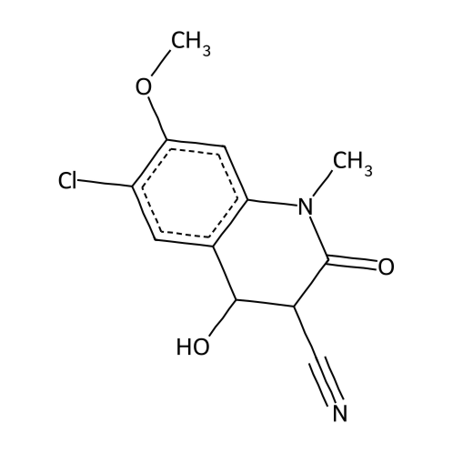 COc1cc2c(cc1Cl)C(O)C(C#N)C(=O)N2C